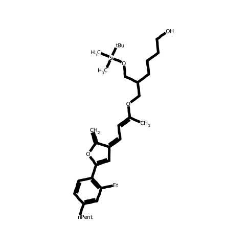 C=c1oc(-c2ccc(CCCCC)cc2CC)c/c1=C/C=C(\C)OCC(CCCCO)CO[Si](C)(C)C(C)(C)C